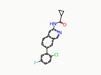 O=C(Nc1cc2ccc(-c3cc(F)ccc3Cl)cc2cn1)C1CC1